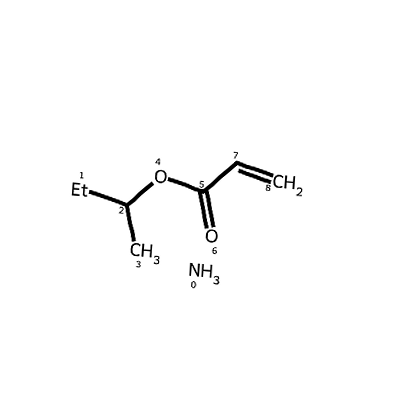 N.[CH2]CC(C)OC(=O)C=C